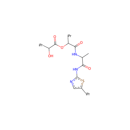 CC(NC(=O)C(OC(=O)C(O)C(C)C)C(C)C)C(=O)Nc1ncc(C(C)C)s1